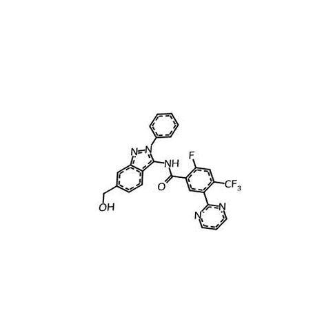 O=C(Nc1c2ccc(CO)cc2nn1-c1ccccc1)c1cc(-c2ncccn2)c(C(F)(F)F)cc1F